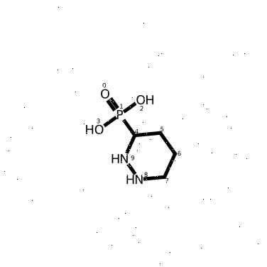 O=P(O)(O)C1CCCNN1